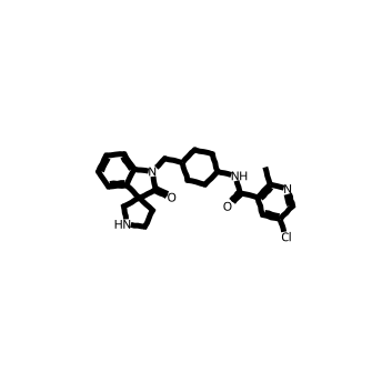 Cc1ncc(Cl)cc1C(=O)NC1CCC(CN2C(=O)C3(CCNC3)c3ccccc32)CC1